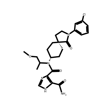 COCC(C)N(C(=O)c1nc[nH]c1C(N)=O)[C@H]1CC[C@@]2(CCN(c3cccc(Cl)c3)C2=O)CC1